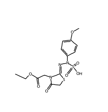 CCOC(=O)CN1C(=O)CSC1=NN(c1ccc(OC)cc1)S(=O)(=O)O